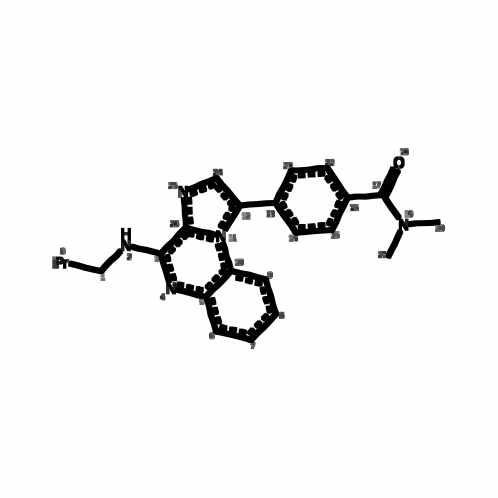 CC(C)CNc1nc2ccccc2n2c(-c3ccc(C(=O)N(C)C)cc3)cnc12